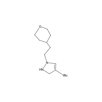 CC(C)(C)C1=CN(CCC2CCOCC2)NC1